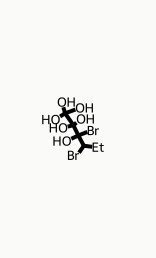 CCC(Br)C(O)(Br)C(O)(O)C(O)(O)O